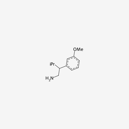 COc1cccc(C(CN)C(C)C)c1